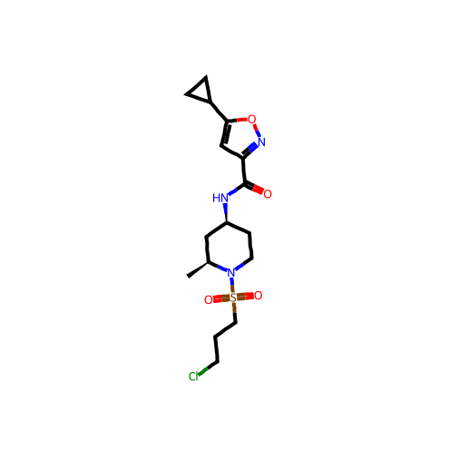 C[C@H]1C[C@@H](NC(=O)c2cc(C3CC3)on2)CCN1S(=O)(=O)CCCCl